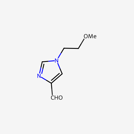 COCCn1cnc(C=O)c1